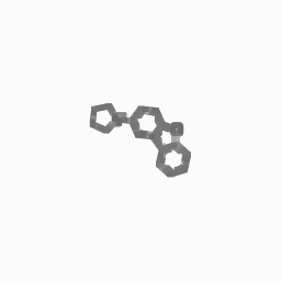 c1ccc2c(c1)oc1ccc([S+]3CCCC3)cc12